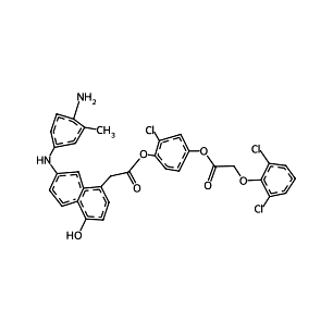 Cc1cc(Nc2ccc3c(O)ccc(CC(=O)Oc4ccc(OC(=O)COc5c(Cl)cccc5Cl)cc4Cl)c3c2)ccc1N